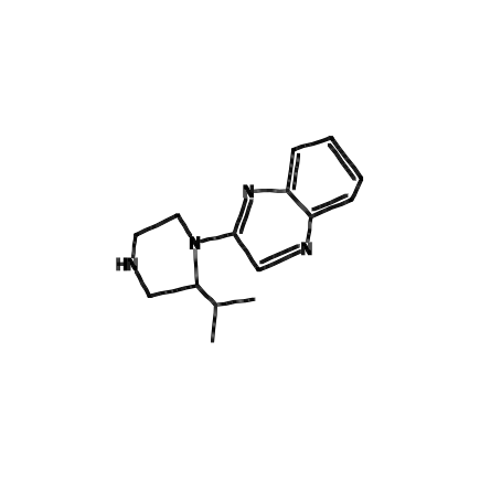 CC(C)C1CNCCN1c1cnc2ccccc2n1